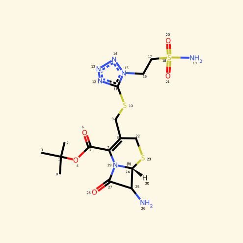 CC(C)(C)OC(=O)C1=C(CSc2nnnn2CCS(N)(=O)=O)CS[C@@H]2C(N)C(=O)N12